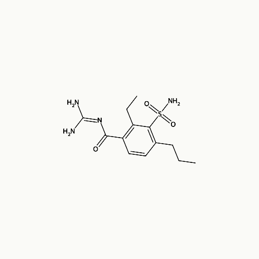 CCCc1ccc(C(=O)N=C(N)N)c(CC)c1S(N)(=O)=O